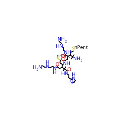 CCCCCSCCC(NC(=O)CC(C(=O)NCCNCCN)C(CCSCCCCC)C(C)(C)N)C(CC(=O)NCCNCCN)C(C)(C)C(=O)NCCc1ncc[nH]1